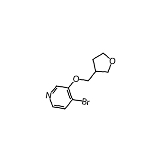 Brc1ccncc1OCC1CCOC1